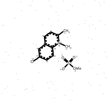 COS(=O)(=O)[O-].Cc1ccc2cc(Cl)ccc2[n+]1C